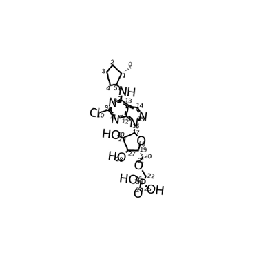 C[C@H]1CCCC1Nc1nc(Cl)nc2c1cnn2[C@@H]1O[C@H](COCP(=O)(O)O)[C@@H](O)[C@H]1O